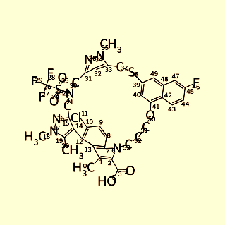 Cc1c(C(=O)O)n2c3ccc(Cl)c(c13)-c1c(nn(C)c1C)CN(S(=O)(=O)C(F)(F)F)Cc1cc(n(C)n1)CSc1cc(c3ccc(F)cc3c1)OCCC2